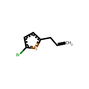 C=CCc1ccc(Br)s1